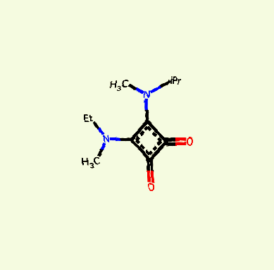 CCN(C)c1c(N(C)C(C)C)c(=O)c1=O